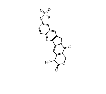 O=C1OCc2c(cc3n(c2=O)Cc2cc4cc(OS(=O)(=O)F)ccc4nc2-3)C1O